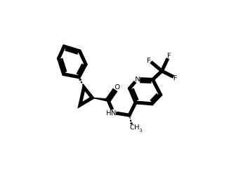 C[C@H](NC(=O)[C@H]1C[C@@H]1c1ccccc1)c1ccc(C(F)(F)F)nc1